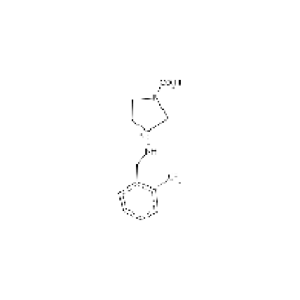 O=C(O)N1CC[C@@H](NCc2ccccc2C(F)(F)F)C1